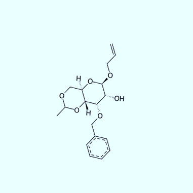 C=CCO[C@@H]1O[C@@H]2COC(C)O[C@H]2[C@@H](OCc2ccccc2)[C@H]1O